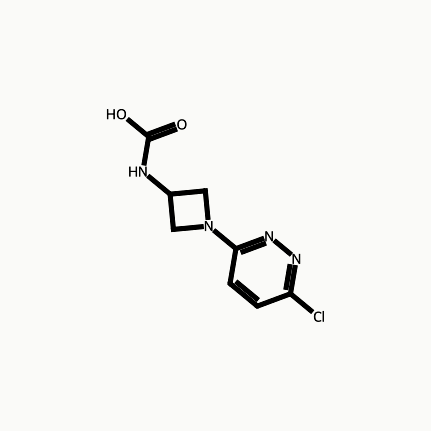 O=C(O)NC1CN(c2ccc(Cl)nn2)C1